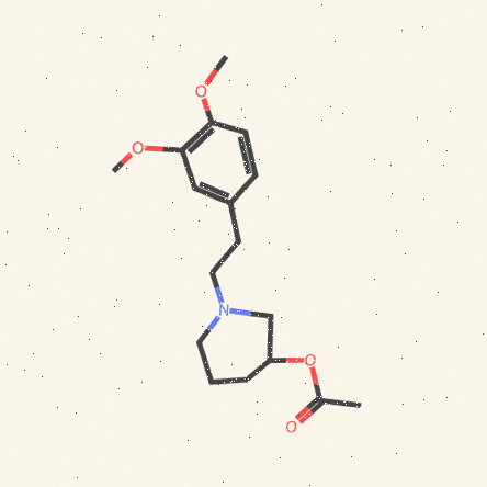 COc1ccc(CCN2CCCC(OC(C)=O)C2)cc1OC